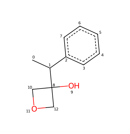 CC(c1ccccc1)C1(O)COC1